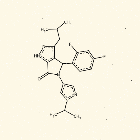 CC(C)Cc1n[nH]c2c1C(c1ccc(F)cc1F)N(c1cnn(C(C)C)c1)C2=O